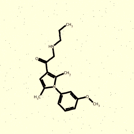 CCCNCC(=O)c1cc(C)n(-c2cccc(OC)c2)c1C